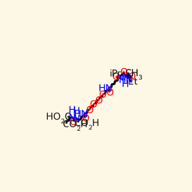 CCNC(=O)C(C)NC(=O)C(NC(=O)CCCCCNC(=O)CCOCCOCCOCCOCCNC(=O)CCC(NC(=O)NC(CCC(=O)O)C(=O)O)C(=O)O)C(C)C